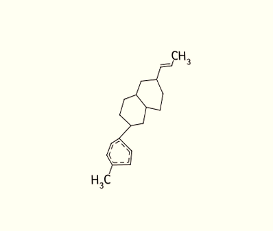 C/C=C/C1CCC2CC(c3ccc(C)cc3)CCC2C1